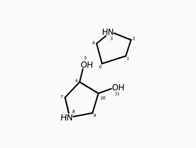 C1CCNC1.OC1CNCC1O